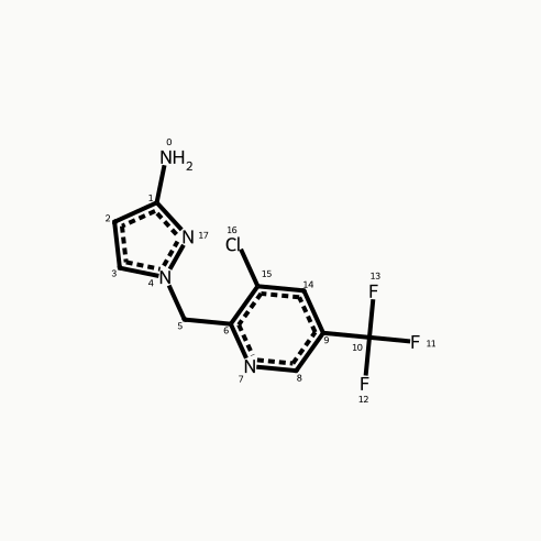 Nc1ccn(Cc2ncc(C(F)(F)F)cc2Cl)n1